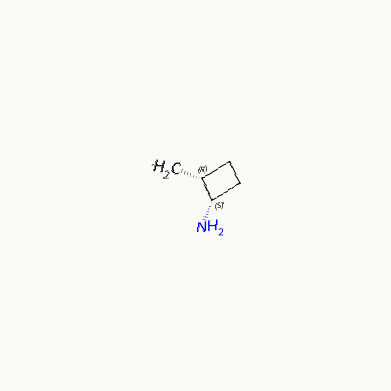 [CH2][C@@H]1CC[C@@H]1N